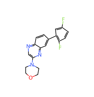 Fc1ccc(F)c(-c2ccc3ncc(N4CCOCC4)nc3c2)c1